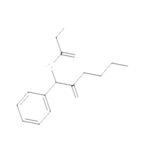 CCCCC(=O)C(NC(=O)CCl)c1ccccc1